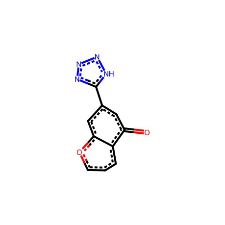 O=c1cc(-c2nnn[nH]2)cc2occcc1-2